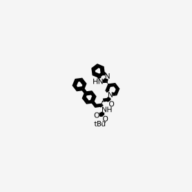 CC(C)(C)OC(=O)N[C@@H](CC(=O)N1CCC[C@@H](c2nc3ccccc3[nH]2)C1)Cc1ccc(-c2ccccc2)cc1